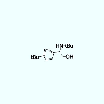 CC(C)(C)N[C@H](CO)c1ccc(C(C)(C)C)cc1